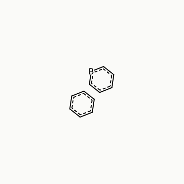 b1ccccc1.c1ccccc1